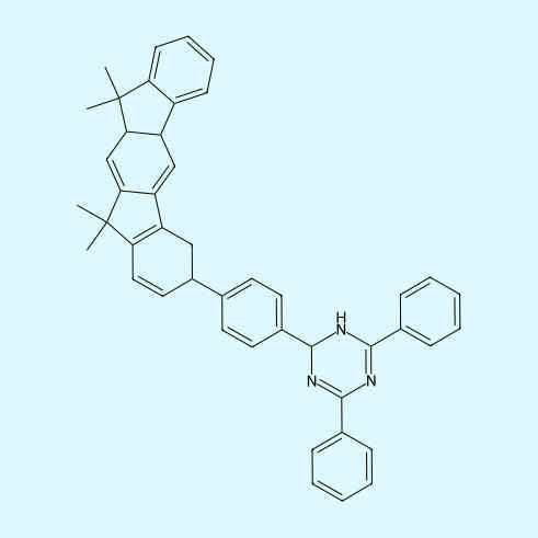 CC1(C)C2=CC3C(C=C2C2=C1C=CC(c1ccc(C4N=C(c5ccccc5)N=C(c5ccccc5)N4)cc1)C2)c1ccccc1C3(C)C